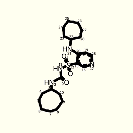 O=C(NC1CCCCCCC1)NS(=O)(=O)c1cnccc1NC1CCCCCC1